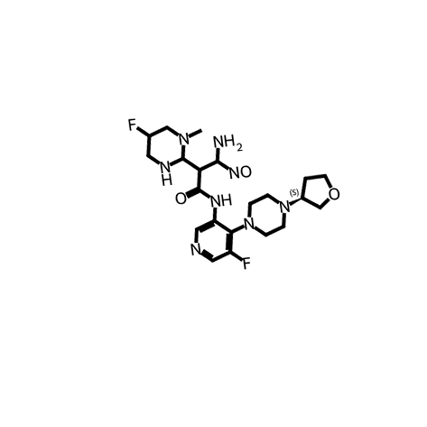 CN1CC(F)CNC1C(C(=O)Nc1cncc(F)c1N1CCN([C@H]2CCOC2)CC1)C(N)N=O